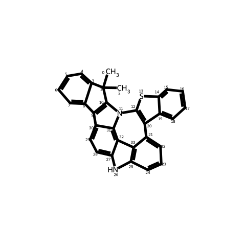 CC1(C)c2ccccc2-c2c1n1c3sc4ccccc4c3c3cccc4[nH]c5ccc2c1c5c43